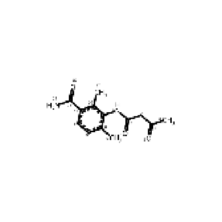 CC(=O)CC(=O)Nc1c(C)ccc(C(N)=O)c1C